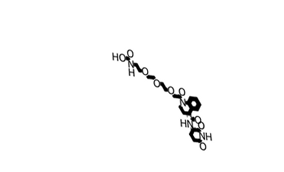 O=C(O)NCCOCCOCCOCC(=O)N1CC[C@@H](C(=O)N[C@H]2CCC(=O)NC2=O)c2ccccc21